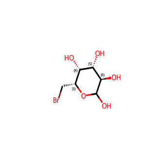 OC1O[C@H](CBr)[C@H](O)[C@H](O)[C@H]1O